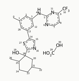 Cc1cc(Nc2nccc(C(F)(F)F)n2)cc(-c2cnc(C3(O)CC(C)CCC3C)s2)c1.O=C(O)O